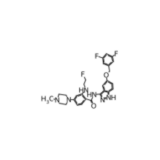 CN1CCN(c2ccc(C(=O)Nc3n[nH]c4ccc(OCc5cc(F)cc(F)c5)cc34)c(NCCF)c2)CC1